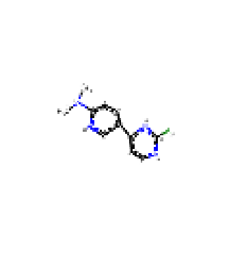 CN(C)c1ccc(-c2ccnc(Cl)n2)cn1